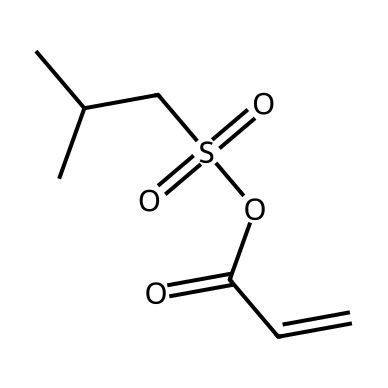 C=CC(=O)OS(=O)(=O)CC(C)C